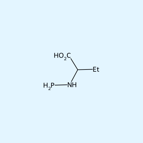 CCC(NP)C(=O)O